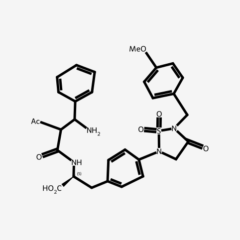 COc1ccc(CN2C(=O)CN(c3ccc(C[C@H](NC(=O)C(C(C)=O)C(N)c4ccccc4)C(=O)O)cc3)S2(=O)=O)cc1